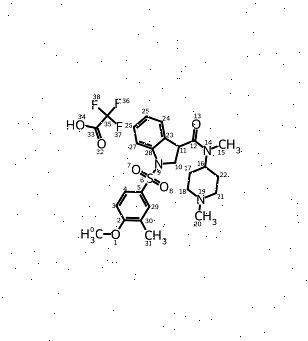 COc1ccc(S(=O)(=O)N2CC(C(=O)N(C)C3CCN(C)CC3)c3ccccc32)cc1C.O=C(O)C(F)(F)F